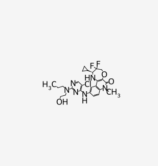 CCCN(CCO)c1ncc(Cl)c(Nc2ccc3c(c2)c2c(c(=O)n3C)OCC(F)(F)[C@H](C3CC3)N2)n1